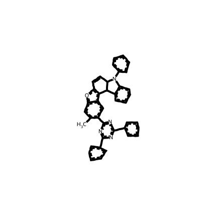 Cc1cc2oc3c(c2cc1-c1nc(-c2ccccc2)nc(-c2ccccc2)n1)C1c2ccccc2N(c2ccccc2)C1C=C3